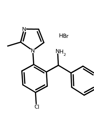 Br.Cc1nccn1-c1ccc(Cl)cc1C(N)c1ccccc1